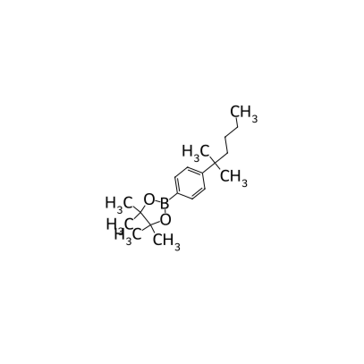 CCCCC(C)(C)c1ccc(B2OC(C)(C)C(C)(C)O2)cc1